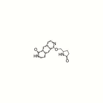 O=C1CCC(COc2nccc3cc4c(=O)[nH]ccc4cc23)N1